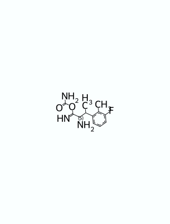 Cc1c(F)cccc1C(C)[C@H](N)C(=N)OC(N)=O